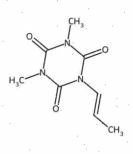 CC=Cn1c(=O)n(C)c(=O)n(C)c1=O